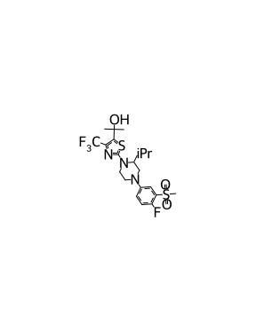 CC(C)C1CN(c2ccc(F)c(S(C)(=O)=O)c2)CCN1c1nc(C(F)(F)F)c(C(C)(C)O)s1